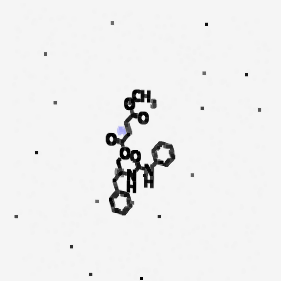 COC(=O)/C=C/C(=O)OC[C@H](Cc1ccccc1)NC(=O)Nc1ccccc1